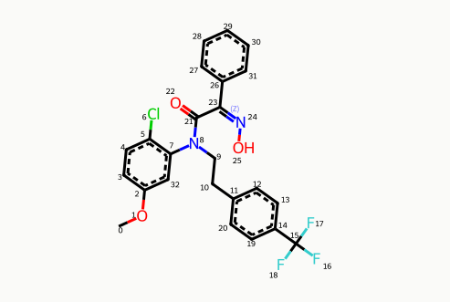 COc1ccc(Cl)c(N(CCc2ccc(C(F)(F)F)cc2)C(=O)/C(=N\O)c2ccccc2)c1